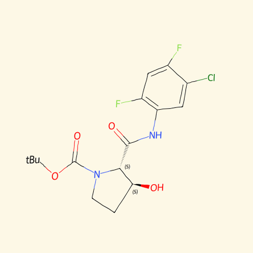 CC(C)(C)OC(=O)N1CC[C@H](O)[C@H]1C(=O)Nc1cc(Cl)c(F)cc1F